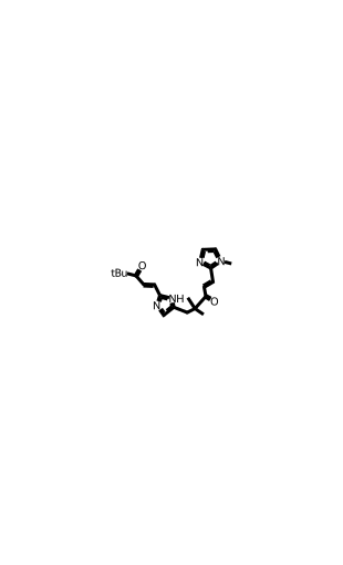 Cn1ccnc1/C=C/C(=O)C(C)(C)Cc1cnc(/C=C/C(=O)C(C)(C)C)[nH]1